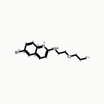 FCCOCCNc1ccc2cc(Br)ccc2n1